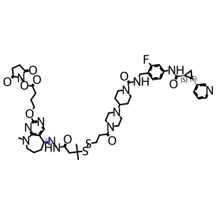 CN1CCC/C(=N\NC(=O)CC(C)(C)SSCCC(=O)N2CCN(C3CCN(C(=O)NCc4ccc(NC(=O)[C@H]5C[C@@H]5c5cccnc5)cc4F)CC3)CC2)c2cnc(OCCCC(=O)ON3C(=O)CCC3=O)nc21